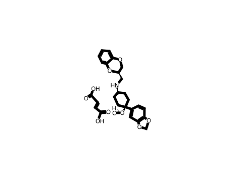 CO[C@]1(c2ccc3c(c2)OCO3)CC[C@H](NC[C@@H]2COc3ccccc3O2)CC1.O=C(O)/C=C/C(=O)O